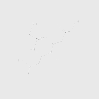 COC(=O)CNC(=O)C(CC(C)C)NC(=O)CN